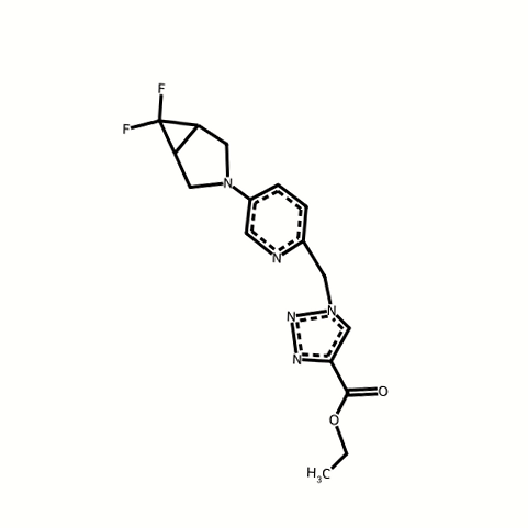 CCOC(=O)c1cn(Cc2ccc(N3CC4C(C3)C4(F)F)cn2)nn1